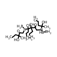 BBN(CC(=O)C(C)(CCC)C(C)(CCC)N(B)CC(=O)C(C)(O)CCC)C(C)(O)CCC